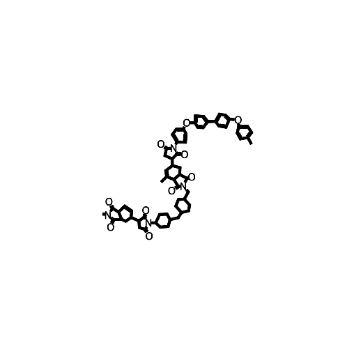 CC1=CC(C2CC(=O)N(c3ccc(Oc4ccc(-c5ccc(Oc6ccc(C)cc6)cc5)cc4)cc3)C2=O)CC2C(=O)N(CC3CCC(CC4CCC(N5C(=O)CC(C6C=CC7C(=O)N(C)C(=O)C7C6)C5=O)CC4)CC3)C(=O)C12